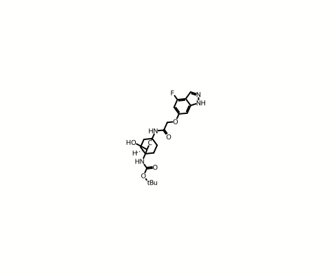 CC(C)(C)OC(=O)NC12CCC(NC(=O)COc3cc(F)c4cn[nH]c4c3)(CC1)C[C@@H]2O